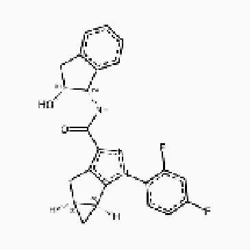 O=C(N[C@H]1c2ccccc2C[C@H]1O)c1nn(-c2ccc(F)cc2F)c2c1C[C@@H]1C[C@H]21